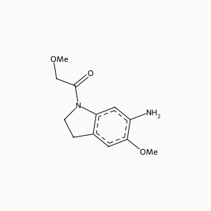 COCC(=O)N1CCc2cc(OC)c(N)cc21